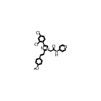 COc1ccc(/C=C/c2nc(-c3ccc(Cl)cc3Cl)cn2CC(=O)Nc2ccncc2)cc1